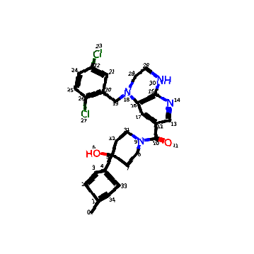 Cc1ccc(C2(O)CCN(C(=O)c3cnc4c(c3)N(Cc3cc(Cl)ccc3Cl)CCN4)CC2)cc1